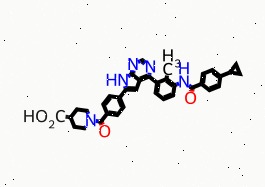 Cc1c(NC(=O)c2ccc(C3CC3)cc2)cccc1-c1ncnc2[nH]c(-c3ccc(C(=O)N4CCC(C(=O)O)CC4)cc3)cc12